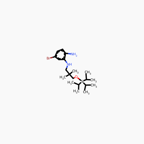 CC(C)[Si](OCC(C)(C)CNc1cc(Br)ccc1N)(C(C)C)C(C)C